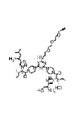 C#CCOCCOCCOCCNc1nc(N2CCN(C(=O)[C@H]([C@@H](C)CC)n3cc([C@@H](N)CO)nn3)CC2)nc(N2CCN(C(=O)[C@H]([C@@H](C)CC)n3cc([C@@H](N)CC(C)C)nn3)CC2)n1.Cl